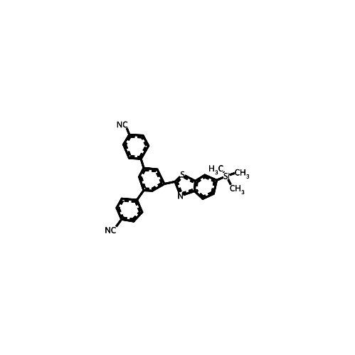 C[Si](C)(C)c1ccc2nc(-c3cc(-c4ccc(C#N)cc4)cc(-c4ccc(C#N)cc4)c3)sc2c1